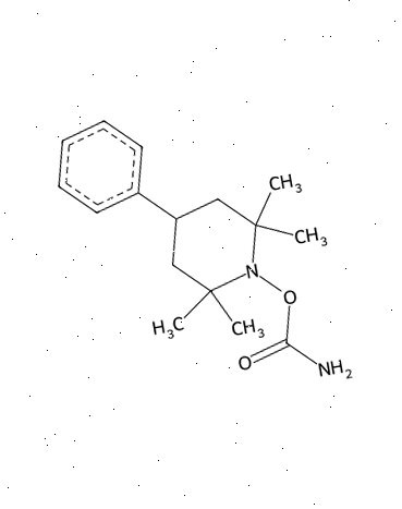 CC1(C)CC(c2ccccc2)CC(C)(C)N1OC(N)=O